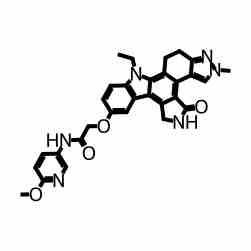 CCn1c2ccc(OCC(=O)Nc3ccc(OC)nc3)cc2c2c3c(c4c(c21)CCc1nn(C)cc1-4)C(=O)NC3